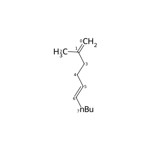 C=C(C)CCC=CCCCC